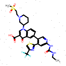 CCNC(=O)Nc1cc(-c2nc(C(F)(F)F)cs2)c(-c2ccc3c(c2)c(=O)c(C(=O)O)cn3C2CCCN(CCS(C)(=O)=O)C2)cn1